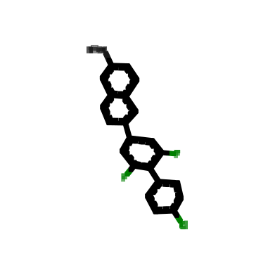 CCCCCCc1ccc2cc(-c3cc(F)c(-c4ccc(Cl)cc4)c(F)c3)ccc2c1